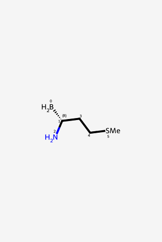 B[C@@H](N)CCSC